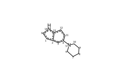 c1cc2cc(N3CCCCC3)ccc2[nH]1